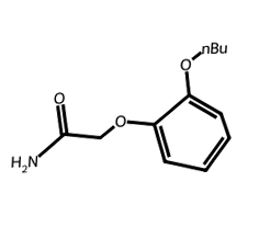 CCCCOc1ccccc1OCC(N)=O